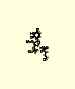 CO[C@@H]1C(O[Si](C)(C)C(C)(C)C)[C@@H](CNS(=O)(=O)CCCCl)O[C@H]1n1ccc(=O)[nH]c1=O